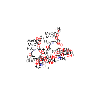 CC[C@H]1OC(=O)C[C@@H](O)[C@H](C)[C@@H](O[C@@H]2O[C@H](C)[C@@H](O[C@H]3C[C@@](C)(O)[C@@H](O)[C@H](C)O3)[C@H](N(C)C)[C@H]2O)[C@@H](CC=O)C[C@@H](C)C(=O)/C=C/C(C)=C/C1CO[C@@H]1O[C@H](C)[C@@H](O)[C@@H](OC)[C@H]1OC.CC[C@H]1OC(=O)C[C@@H](O)[C@H](C)[C@@H](O[C@@H]2O[C@H](C)[C@@H](O[C@H]3C[C@@](C)(O)[C@@H](O)[C@H](C)O3)[C@H](N(C)C)[C@H]2O)[C@@H](CC=O)C[C@@H](C)C(=O)/C=C/C(C)=C/C1CO[C@@H]1O[C@H](C)[C@@H](O)[C@@H](OC)[C@H]1OC